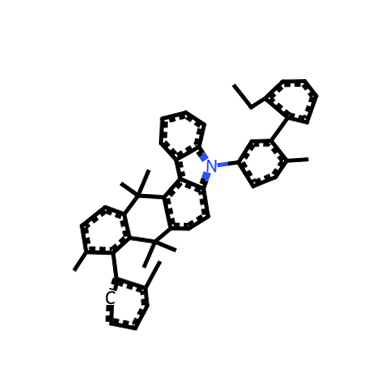 CCc1ccccc1-c1cc(-n2c3ccccc3c3c4c(ccc32)C(C)(C)c2c(ccc(C)c2-c2ccccc2C)C4(C)C)ccc1C